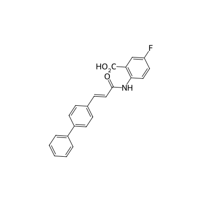 O=C(C=Cc1ccc(-c2ccccc2)cc1)Nc1ccc(F)cc1C(=O)O